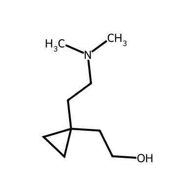 CN(C)CCC1(CCO)CC1